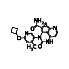 Cc1cc(OC2CCC2)ncc1N1C(=O)Nc2ccnc3sc(C(N)=O)c1c23